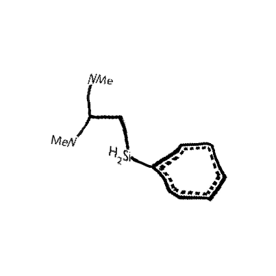 CNC(C[SiH2]c1ccccc1)NC